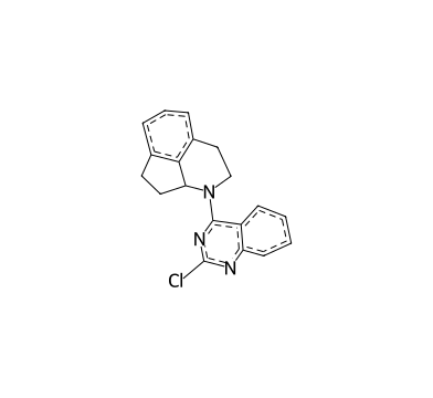 Clc1nc(N2CCc3cccc4c3C2CC4)c2ccccc2n1